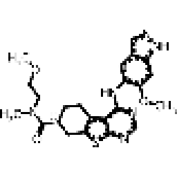 COCCN(C)C(=O)[C@H]1CCc2c(sc3ncnc(Nc4cc5cn[nH]c5cc4OC)c23)C1